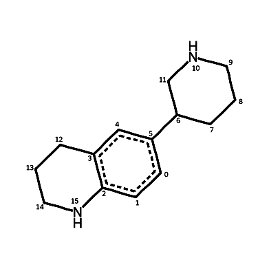 c1cc2c(cc1C1CCCNC1)CCCN2